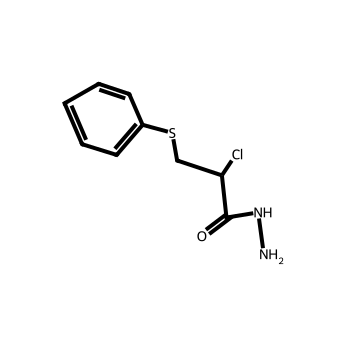 NNC(=O)C(Cl)CSc1ccccc1